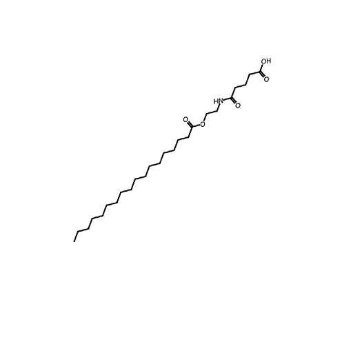 CCCCCCCCCCCCCCCCCC(=O)OCCNC(=O)CCCC(=O)O